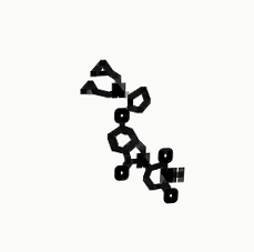 O=C1CCC(N2Cc3cc(O[C@H]4CCC[C@H]4N(CC4CC4)CC4CC4)ccc3C2=O)C(=O)N1